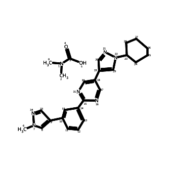 CN(C)C(=O)O.Cn1cc(-c2cccc(-c3ncc(-c4cnn(C5CCCCC5)c4)cn3)c2)cn1